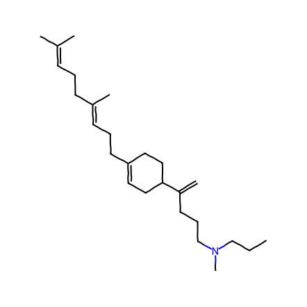 C=C(CCCN(C)CCC)C1CC=C(CC/C=C(\C)CCC=C(C)C)CC1